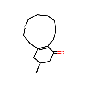 C[C@@H]1CC(=O)C2=C(CCCCCCCCC2)C1